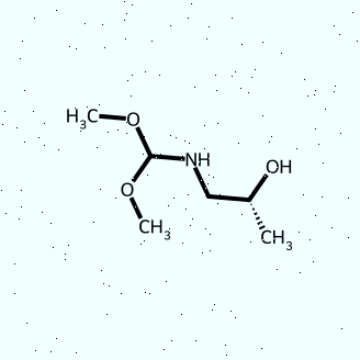 COC(NC[C@@H](C)O)OC